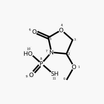 COC1COC(=O)N1P(=O)(O)S